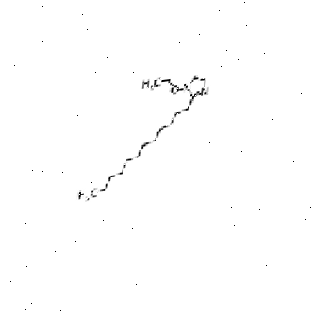 CCCCCCCCCCCCC1=NCCN1OCC